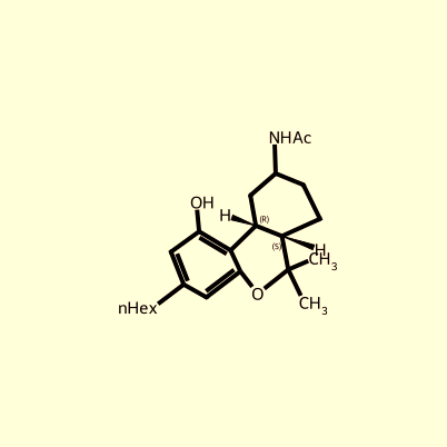 CCCCCCc1cc(O)c2c(c1)OC(C)(C)[C@H]1CCC(NC(C)=O)C[C@@H]21